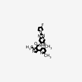 Cc1cc(C)nc(-c2cnn(C)c2C(=O)Nc2cc3nc(N4CC[C@H](F)C4)nn3cc2F)c1